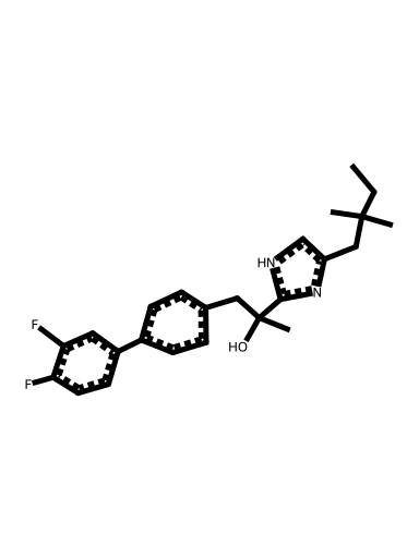 CCC(C)(C)Cc1c[nH]c(C(C)(O)Cc2ccc(-c3ccc(F)c(F)c3)cc2)n1